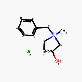 CCCCCCCCCC[N+](C)(CCO)Cc1ccccc1.[Br-]